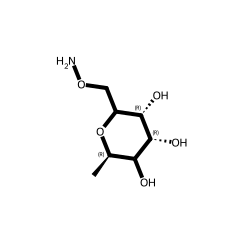 C[C@H]1OC(CON)[C@H](O)[C@H](O)C1O